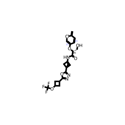 C=C(Cl)/C=C\C(=C/C)O[C@H](CO)C(=O)NC12CC(c3nnc(C4CC(OC(F)(F)F)C4)o3)(C1)C2